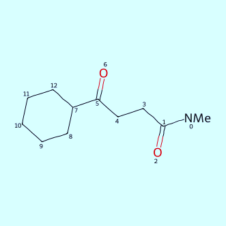 CNC(=O)CCC(=O)C1CCCCC1